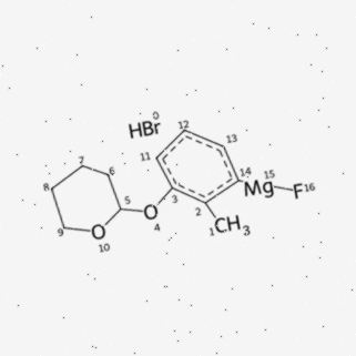 Br.Cc1c(OC2CCCCO2)ccc[c]1[Mg][F]